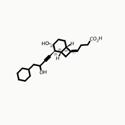 O=C(O)CC/C=C1/C[C@@H]2[C@@H](C#CC(O)CC3CCCCC3)[C@H](O)CC[C@H]12